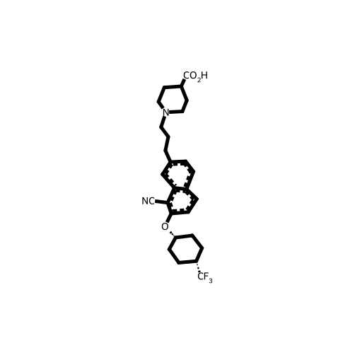 N#Cc1c(O[C@H]2CC[C@@H](C(F)(F)F)CC2)ccc2ccc(CCCN3CCC(C(=O)O)CC3)cc12